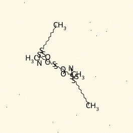 CCCCCCCCCCCCSC(=S)SC(C)(C#N)CCC(=O)OCCSSCCOC(=O)CC[C@@](C)(C#N)SC(=S)SCCCCCCCCCCCC